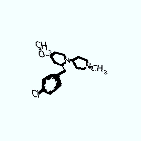 CO[C@@H]1CCN(C2CCN(C)CC2)[C@@H](Cc2ccc(Cl)cc2)C1